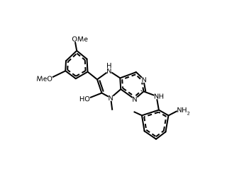 COc1cc(OC)cc(C2=C(O)N(C)c3nc(Nc4c(C)cccc4N)ncc3N2)c1